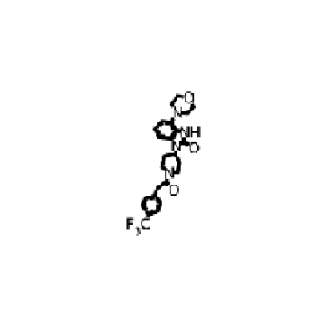 O=C(Cc1ccc(C(F)(F)F)cc1)N1CCC(n2c(=O)[nH]c3c(N4CCOCC4)cccc32)CC1